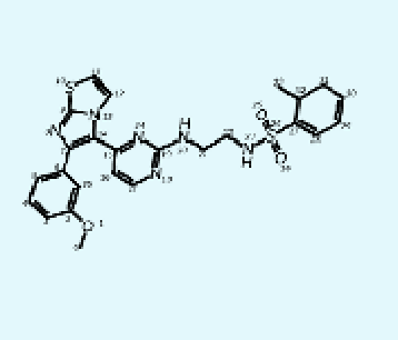 COc1cccc(-c2nc3sccn3c2-c2ccnc(NCCNS(=O)(=O)C3=CC=CCC3C)n2)c1